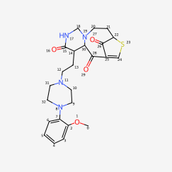 COc1ccccc1N1CCN(CCC2C(=O)NCN3CCC4SC=C(C4=O)C(=O)C23)CC1